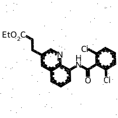 CCOC(=O)CCc1cnc2c(NC(=O)c3c(Cl)cccc3Cl)cccc2c1